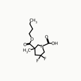 CCCCOC(=O)C1(C)CN(C(=O)O)CC(F)(F)C1